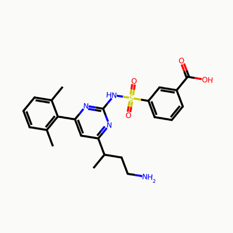 Cc1cccc(C)c1-c1cc(C(C)CCN)nc(NS(=O)(=O)c2cccc(C(=O)O)c2)n1